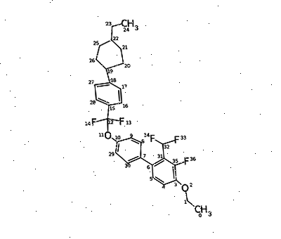 CCOc1ccc(-c2ccc(OC(F)(F)c3ccc(C4CCC(CC)CC4)cc3)cc2)c(C(F)F)c1F